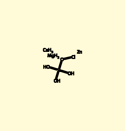 O[Si](O)(O)OCl.[CaH2].[MgH2].[Zn]